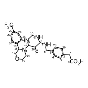 O=C(O)Cc1ccc(CNC2NCNC(N3CCOCC3c3ccc(C(F)(F)F)cc3)C2F)cc1